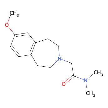 COc1ccc2c(c1)CCN(CC(=O)N(C)C)CC2